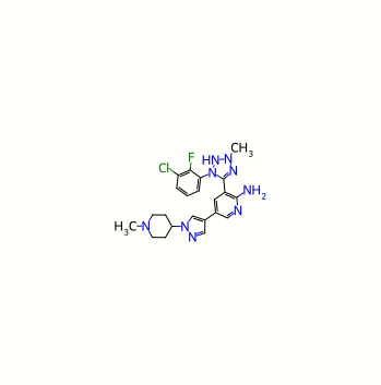 CN1CCC(n2cc(-c3cnc(N)c(C4=NN(C)NN4c4cccc(Cl)c4F)c3)cn2)CC1